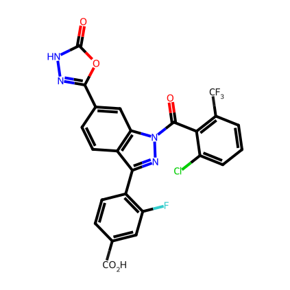 O=C(O)c1ccc(-c2nn(C(=O)c3c(Cl)cccc3C(F)(F)F)c3cc(-c4n[nH]c(=O)o4)ccc23)c(F)c1